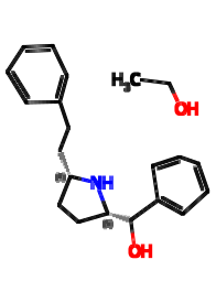 CCO.OC(c1ccccc1)[C@@H]1CC[C@H](CCc2ccccc2)N1